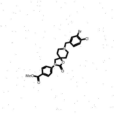 COC(=O)c1ccc(N2CC3(CCN(Cc4ccc(Cl)c(Br)c4)CC3)OC2=O)cc1